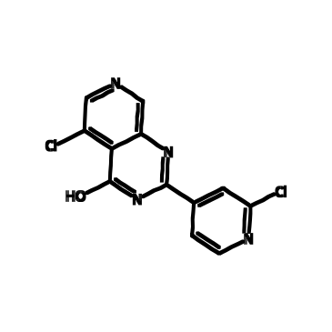 Oc1nc(-c2ccnc(Cl)c2)nc2cncc(Cl)c12